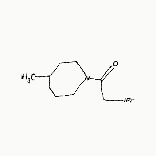 CC(C)CC(=O)N1CCC(C)CC1